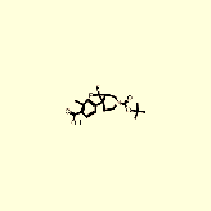 Cc1cc(C23CCN(C(=O)OC(C)(C)C)CC2C3(F)F)ccc1C(=O)O